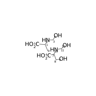 CC(NCO)C(=O)O.O=C(O)C(CO)NCO